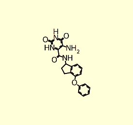 Nc1c(C(=O)NC2CCc3c(Oc4ccccc4)cccc32)[nH]c(=O)[nH]c1=O